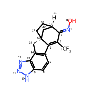 O/N=C1/C(C(F)(F)F)=C2c3ccc4[nH]nnc4c3C[C@@]23CC[C@@H]1C3